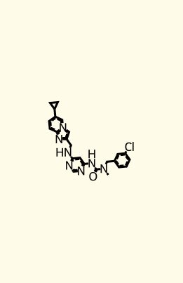 CN(Cc1cccc(Cl)c1)C(=O)Nc1cc(NCc2cn3cc(C4CC4)ccc3n2)ncn1